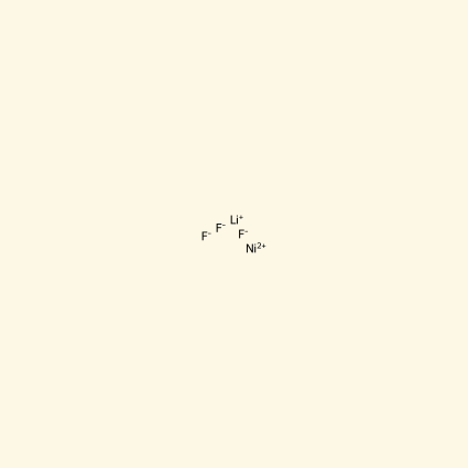 [F-].[F-].[F-].[Li+].[Ni+2]